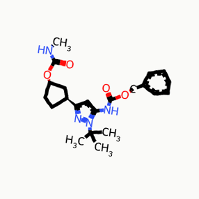 CNC(=O)O[C@@H]1CC[C@H](c2cc(NC(=O)OCc3ccccc3)n(C(C)(C)C)n2)C1